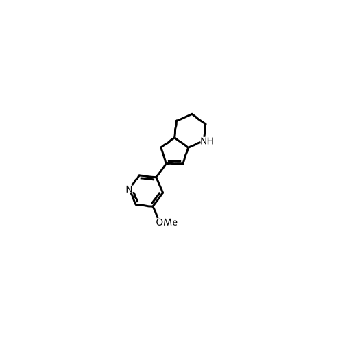 COc1cncc(C2=CC3NCCCC3C2)c1